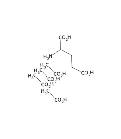 CC(=O)O.CC(=O)O.CC(=O)O.CC(=O)O.NC(CCC(=O)O)C(=O)O